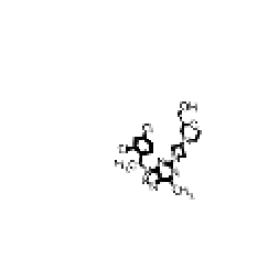 Cc1nc(N2CC(N3CCO[C@H](CO)C3)C2)nc2c1nnn2[C@H](C)c1ccc(Cl)cc1Cl